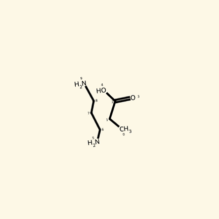 CCC(=O)O.NCCCN